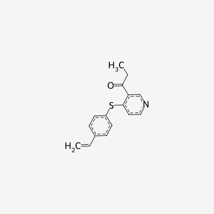 C=Cc1ccc(Sc2ccncc2C(=O)CC)cc1